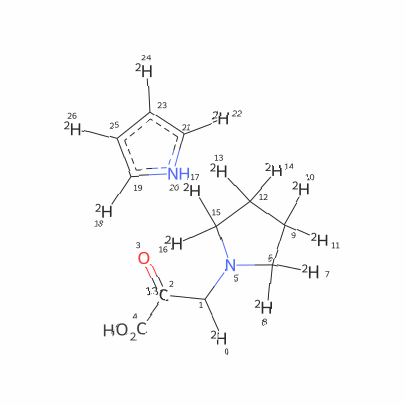 [2H]C([13C](=O)[13C](=O)O)N1C([2H])([2H])C([2H])([2H])C([2H])([2H])C1([2H])[2H].[2H]c1[nH]c([2H])c([2H])c1[2H]